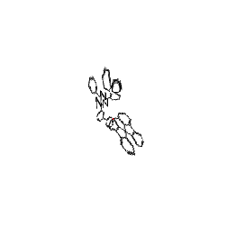 c1ccc(-c2nc(-c3cccc(-c4cccc(-c5cccc6c5C5(c7ccccc7-c7ccccc75)c5ccccc5-6)c4)c3)nc(-c3cccc4oc5ccccc5c34)n2)cc1